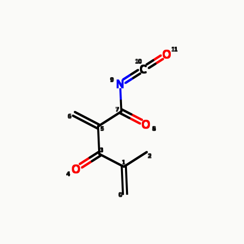 C=C(C)C(=O)C(=C)C(=O)N=C=O